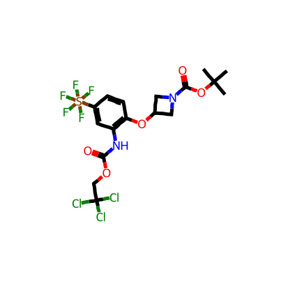 CC(C)(C)OC(=O)N1CC(Oc2ccc(S(F)(F)(F)(F)F)cc2NC(=O)OCC(Cl)(Cl)Cl)C1